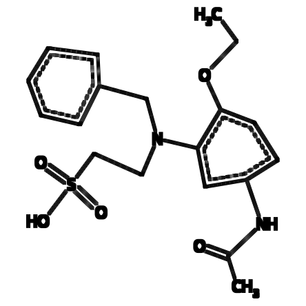 CCOc1ccc(NC(C)=O)cc1N(CCS(=O)(=O)O)Cc1ccccc1